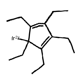 CCC1=C(CC)[C]([Ir+2])(CC)C(CC)=C1CC